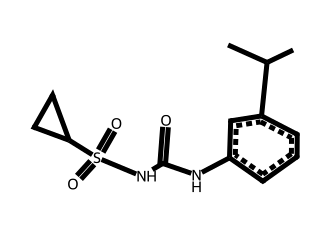 CC(C)c1cccc(NC(=O)NS(=O)(=O)C2CC2)c1